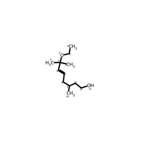 CCOC(C)(C)C=CCC(C)CCO